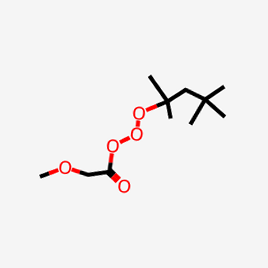 COCC(=O)OOOC(C)(C)CC(C)(C)C